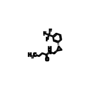 CCCC(=O)NC[C@@H]1C[C@H]1c1cccc(C(F)(F)F)c1